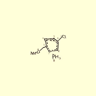 COc1ccc(Cl)cc1.P